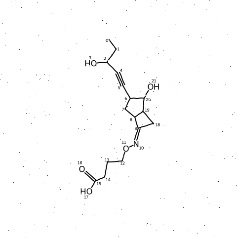 CCC(O)C#CC1CC2C(=NOCCCC(=O)O)CC2C1O